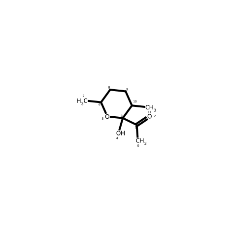 CC(=O)C1(O)OC(C)CCC1C